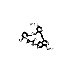 CNc1ncc(C#Cc2ncc(OC)cc2COCc2cccc(Cl)n2)c2cc(NC(=O)C3CC3)ncc12